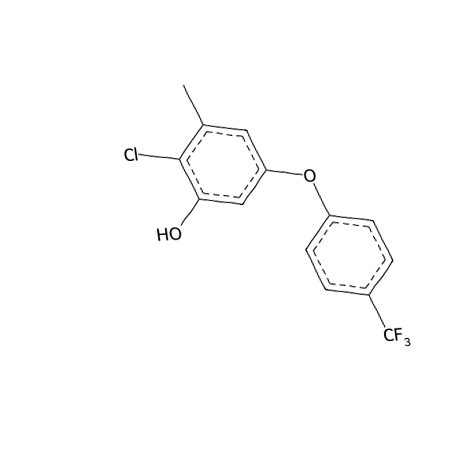 Cc1cc(Oc2ccc(C(F)(F)F)cc2)cc(O)c1Cl